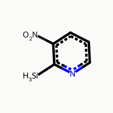 O=[N+]([O-])c1cccnc1[SiH3]